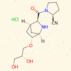 Cl.N#C[C@@H]1CCCN1C(=O)[C@H]1N[C@@H]2C[C@H]1C[C@H]2OC[C@H](O)CO